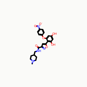 CN1CCC(CNC(=O)c2cc(-c3c(O)cc(O)cc3Oc3ccc([N+](=O)[O-])cc3)on2)CC1